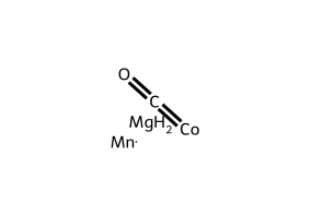 O=[C]=[Co].[MgH2].[Mn]